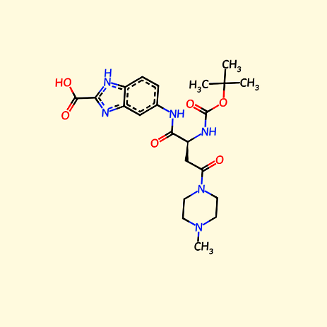 CN1CCN(C(=O)C[C@H](NC(=O)OC(C)(C)C)C(=O)Nc2ccc3[nH]c(C(=O)O)nc3c2)CC1